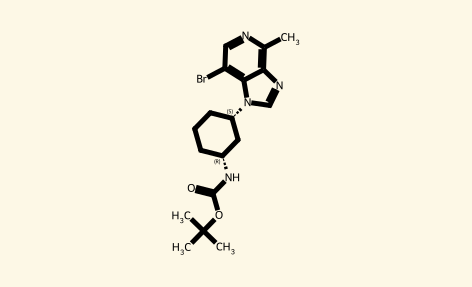 Cc1ncc(Br)c2c1ncn2[C@H]1CCC[C@@H](NC(=O)OC(C)(C)C)C1